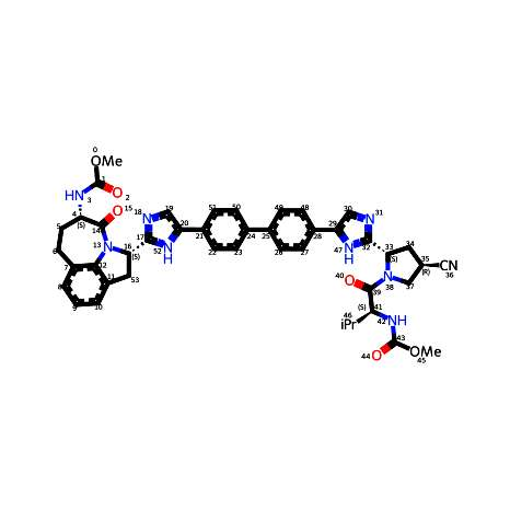 COC(=O)N[C@H]1CCc2cccc3c2N(C1=O)[C@H](c1ncc(-c2ccc(-c4ccc(-c5cnc([C@@H]6C[C@@H](C#N)CN6C(=O)[C@@H](NC(=O)OC)C(C)C)[nH]5)cc4)cc2)[nH]1)C3